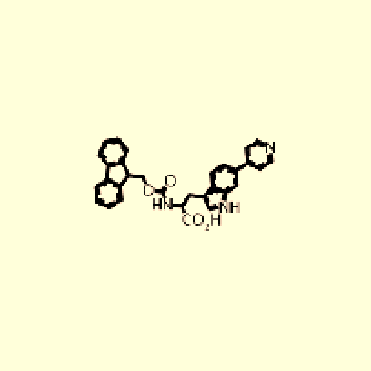 O=C(N[C@@H](Cc1c[nH]c2cc(-c3ccncc3)ccc12)C(=O)O)OCC1c2ccccc2-c2ccccc21